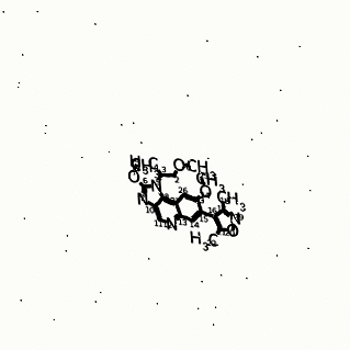 COCC(C)n1c(OC)nc2cnc3cc(-c4c(C)noc4C)c(OC)cc3c21